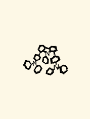 c1ccc(N(c2ccccc2)c2ccc(-c3cccc4c5cccc(-c6ccc(N(c7ccccc7)c7ccccc7)cc6)c5n(-c5ccccc5)c34)cc2)cc1